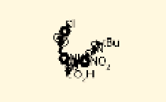 CC(C)(C)c1csc(COc2cc(C(=O)Nc3cc(CCCS(=O)(=O)c4ccc(Cl)cc4)ccc3OCC(=O)O)ccc2[N+](=O)[O-])n1